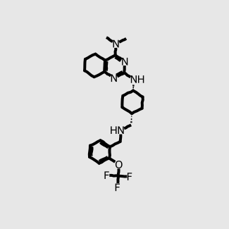 CN(C)c1nc(N[C@H]2CC[C@@H](CNCc3ccccc3OC(F)(F)F)CC2)nc2c1CCCC2